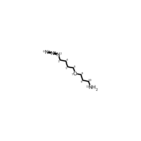 [N-]=[N+]=NCCCCOCCCN